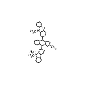 Cc1ccc2c(-c3ccc4c(c3)N(C)c3ccccc3O4)c3ccccc3c(-c3ccc4c(c3)C(C)(C)c3ccccc3-4)c2c1